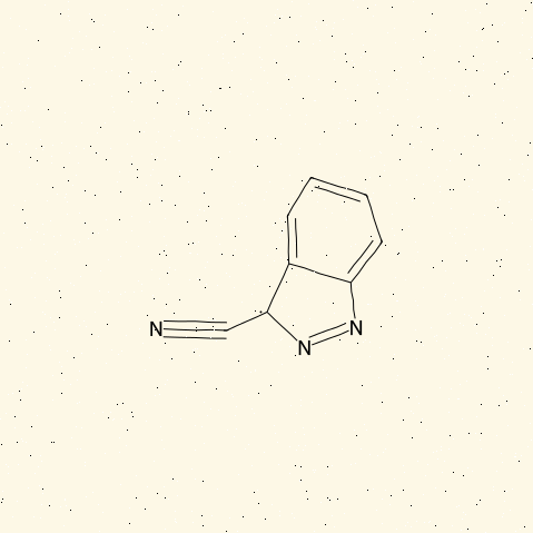 N#C[C]1N=Nc2ccccc21